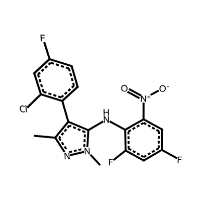 Cc1nn(C)c(Nc2c(F)cc(F)cc2[N+](=O)[O-])c1-c1ccc(F)cc1Cl